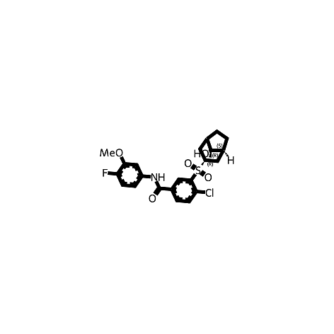 COc1cc(NC(=O)c2ccc(Cl)c(S(=O)(=O)[C@@H]3CC4CC[C@@H](C3)[C@]4(C)O)c2)ccc1F